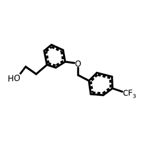 OCCc1cccc(OCc2ccc(C(F)(F)F)cc2)c1